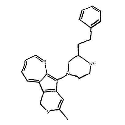 CC1=Cc2c(c3ccccnc-3c2N2CCNC(CCc3ccccc3)C2)CS1